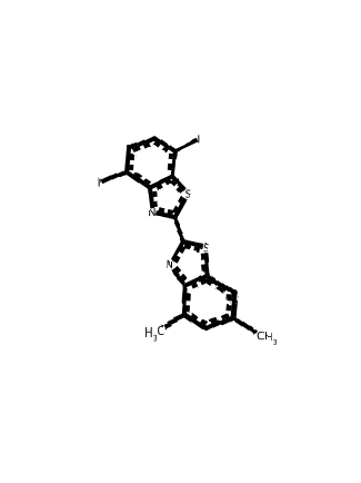 Cc1cc(C)c2nc(-c3nc4c(I)ccc(I)c4s3)sc2c1